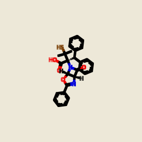 CC(C)(S)[C@@](C(=O)O)(C(c1ccccc1)c1ccccc1)N1C(=O)[C@@H]2N=C(c3ccccc3)O[C@@H]21